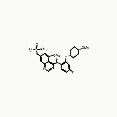 COc1cc(N=S(C)(C)=O)cc2ncnc(Nc3ccc(F)cc3O[C@H]3CC[C@H](OC)CC3)c12